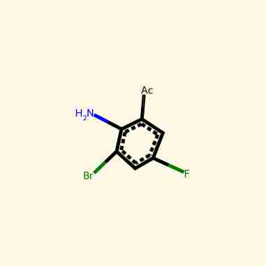 CC(=O)c1cc(F)cc(Br)c1N